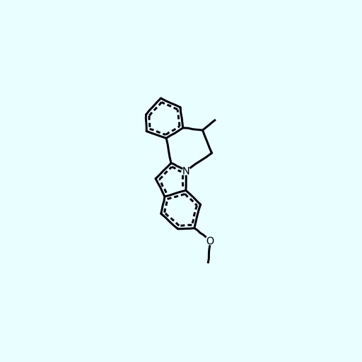 COc1ccc2cc3n(c2c1)CC(C)c1ccccc1-3